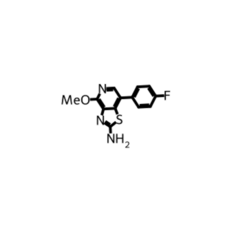 COc1ncc(-c2ccc(F)cc2)c2sc(N)nc12